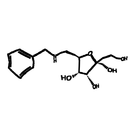 OC[C@]1(O)O[C@H](CNCc2ccccc2)[C@@H](O)[C@H]1O